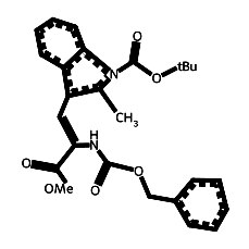 COC(=O)/C(=C/c1c(C)n(C(=O)OC(C)(C)C)c2ccccc12)NC(=O)OCc1ccccc1